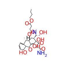 CCCCOC(=O)CCC(=O)O[C@H]1[C@H]2C(=C(O)[C@](O)(C(=O)C(C)C(N)=O)[C@@H]1[C@@H](CO)N(C)C)C(=O)C1C(=CC=CC1O)[C@@H]2C